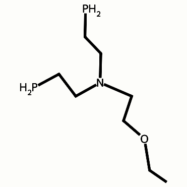 CCOCCN(CCP)CCP